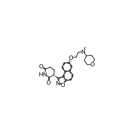 CN(CCOc1ccc2c(ccc3onc([C@@H]4CCC(=O)NC4=O)c32)c1)C1CCOCC1